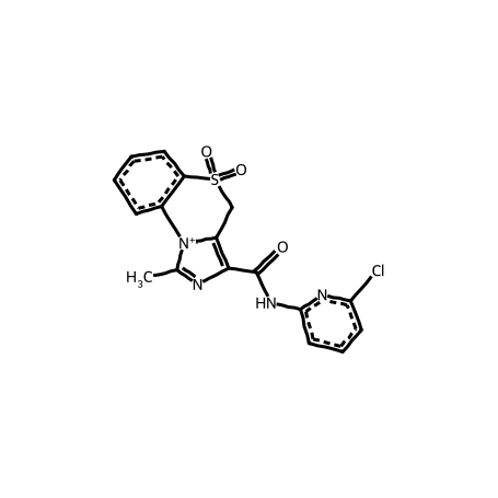 CC1=NC(C(=O)Nc2cccc(Cl)n2)=C2CS(=O)(=O)c3ccccc3[N+]12